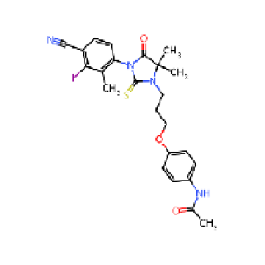 CC(=O)Nc1ccc(OCCCN2C(=S)N(c3ccc(C#N)c(I)c3C)C(=O)C2(C)C)cc1